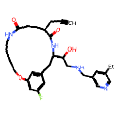 C#CCC1CCC(=O)NCCCCOc2cc(F)cc(c2)CC(C(O)CNCc2cncc(CC)c2)NC1=O